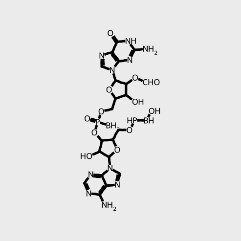 BP(=O)(OCC1OC(n2cnc3c(=O)[nH]c(N)nc32)C(OC=O)C1O)OC1C(COPBO)OC(n2cnc3c(N)ncnc32)C1O